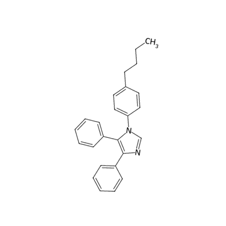 CCCCc1ccc(-n2cnc(-c3ccccc3)c2-c2ccccc2)cc1